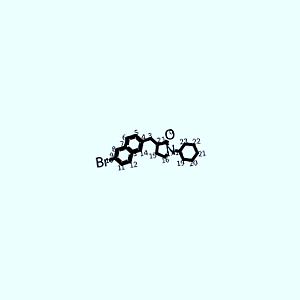 O=C1C(Cc2ccc3cc(Br)ccc3c2)CCN1C1CCCCC1